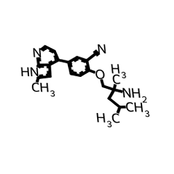 Cc1cc2c(-c3ccc(OCC(C)(N)CC(C)C)c(C#N)c3)ccnc2[nH]1